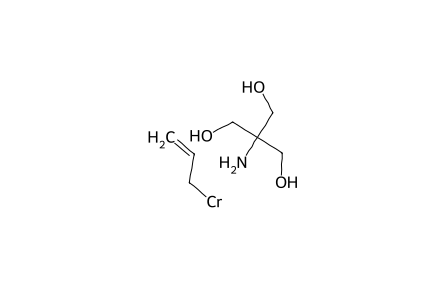 C=C[CH2][Cr].NC(CO)(CO)CO